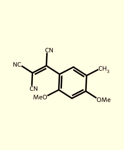 COc1cc(OC)c(C(C#N)=C(C#N)C#N)cc1C